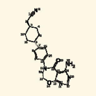 N#CC[C@H]1CC[C@H](c2ccc(N3CCOc4ncnc(N)c4C3=O)cc2)CC1